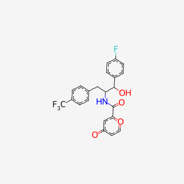 O=C(NC(Cc1ccc(C(F)(F)F)cc1)C(O)c1ccc(F)cc1)c1cc(=O)cco1